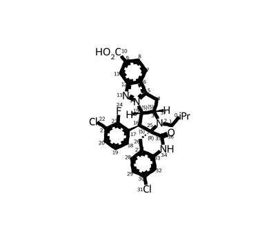 CC(C)CN1[C@H]2Cc3c4ccc(C(=O)O)cc4nn3[C@H]2[C@H](c2cccc(Cl)c2F)[C@@]12Cc1ccc(Cl)cc1NC2=O